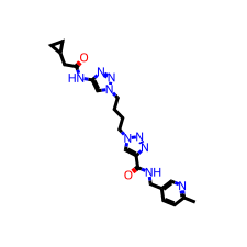 Cc1ccc(CNC(=O)c2cn(CCCCn3cc(NC(=O)CC4CC4)nn3)nn2)cn1